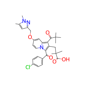 Cc1cc(COc2ccn3c(C(=O)c4ccc(Cl)cc4)c(CC(C)(C)C(=O)O)c(C(=O)C(C)(C)C)c3c2)nn1C